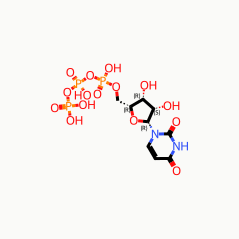 O=c1ccn([C@@H]2O[C@H](COP(=O)(O)OP(=O)(O)OP(=O)(O)O)[C@H](O)[C@@H]2O)c(=O)[nH]1